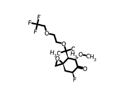 CO[C@@H]1C(=O)[C@@H](F)C[C@]2(CO2)[C@H]1C(C)(C)OCCOCC(F)(F)F